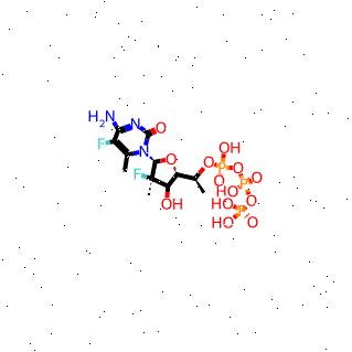 Cc1c(F)c(N)nc(=O)n1[C@@H]1O[C@H]([C@H](C)OP(=O)(O)OP(=O)(O)OP(=O)(O)O)C(O)[C@@]1(C)F